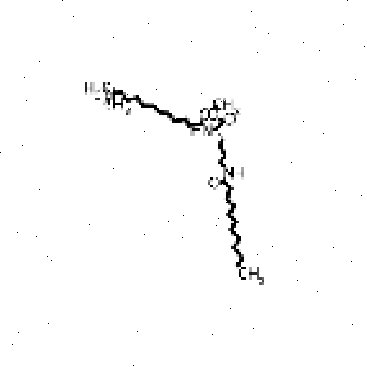 CCCCCCCCCCCC(=O)NCCCC[C@H](NC(=O)CCCCCCCCCCN(C)C)C(=O)OC